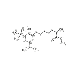 COC(=O)C(C)CSCCCc1cc(C(C)C)cc(C(C)(C)C)c1O